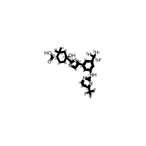 [2H]C([2H])([2H])c1cc(Nc2nccc(C(F)(F)F)n2)cc(-c2cnc([C@@]3(O)CC[C@H](C(=O)O)C(C)(C)C3)s2)c1